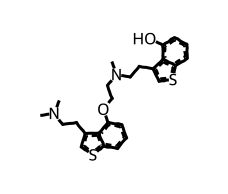 CN(C)CCc1csc2cccc(OCCN(C)CCc3csc4cccc(O)c34)c12